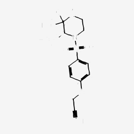 C#CCOc1ccc(S(=O)(=O)N2CCSC(C)(C)[C@@H]2C(=O)O)cc1